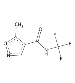 Cc1oncc1C(=O)NC(F)(F)F